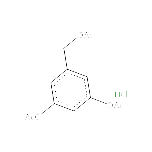 CC(=O)OCc1cc(OC(C)=O)cc(OC(C)=O)c1.Cl